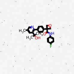 Cc1cnc(-c2ccc(C3(C(=O)Nc4ccc(F)cc4)COC3)cc2)c(C(C)(C)O)c1